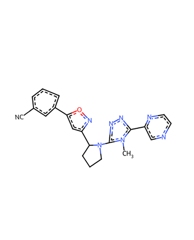 Cn1c(-c2cnccn2)nnc1N1CCCC1c1cc(-c2cccc(C#N)c2)on1